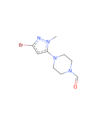 Cn1nc(Br)cc1N1CCN(C=O)CC1